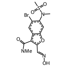 CNC(=O)c1c(/C=N/O)oc2cc(N(C)S(C)(=O)=O)c(Br)cc12